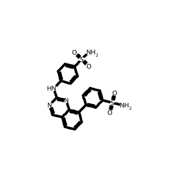 NS(=O)(=O)c1ccc(Nc2ncc3cccc(-c4cccc(S(N)(=O)=O)c4)c3n2)cc1